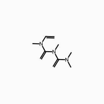 C=CN(C)C(=C)N(C)C(=C)N(C)C